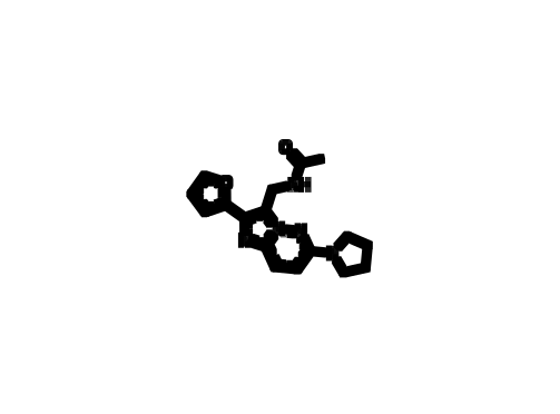 CC(=O)NCc1c(-c2ccco2)nc2ccc(N3CCCC3)nn12